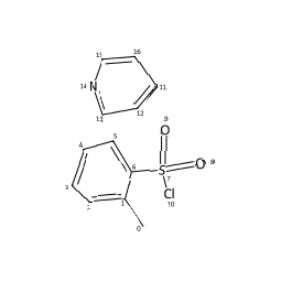 Cc1ccccc1S(=O)(=O)Cl.c1ccncc1